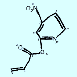 C=CC(=O)Oc1cc([N+](=O)[O-])ccn1